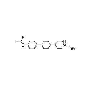 CC(C)C[SiH]1CCC(c2ccc(-c3ccc(OC(F)F)cc3)cc2)CC1